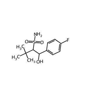 CC(C)(C)C(C(O)c1ccc(F)cc1)S(N)(=O)=O